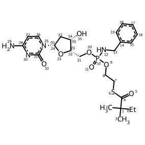 CCC(C)(C)C(=O)SCCOP(=O)(NCc1ccccc1)OC[C@@H]1O[C@H](n2ccc(N)nc2=O)C[C@@H]1O